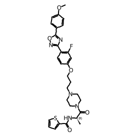 COc1ccc(-c2nc(-c3ccc(OCCCN4CCN(C(=O)[C@@H](C)NC(=O)c5cccs5)CC4)cc3F)no2)cc1